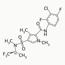 Cc1c(S(=O)(=O)N(C)[C@@H](C)C(F)(F)F)cn(C)c1C(=O)Nc1ccc(F)c(Cl)c1F